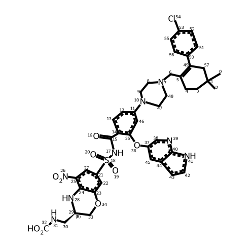 CC1(C)CCC(CN2CCN(c3ccc(C(=O)NS(=O)(=O)c4cc5c(c([N+](=O)[O-])c4)N[C@H](CNC(=O)O)CO5)c(Oc4cnc5[nH]ccc5c4)c3)CC2)=C(c2ccc(Cl)cc2)C1